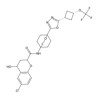 O=C(NC12CCC(c3nnc([C@H]4C[C@@H](OC(F)(F)F)C4)o3)(CC1)OC2)C1CC(O)c2cc(Cl)ccc2O1